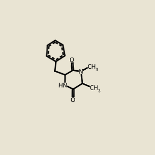 CC1C(=O)NC(Cc2ccccc2)C(=O)N1C